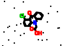 O=C(O)Cn1c2ccccc2c(=O)c2c(Cl)cccc21